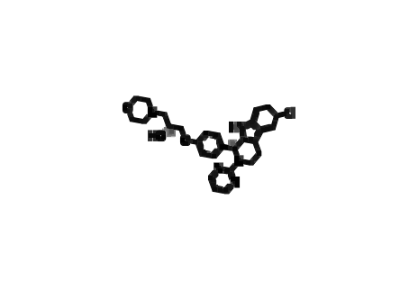 O[C@@H](COc1ccc([C@H]2c3[nH]c4c(c3CCN2c2ncccn2)=CC(Cl)CC=4)cc1)CN1CCOCC1